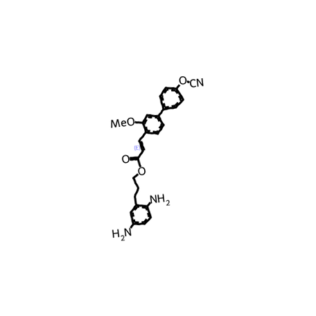 COc1cc(-c2ccc(OC#N)cc2)ccc1/C=C/C(=O)OCCCc1cc(N)ccc1N